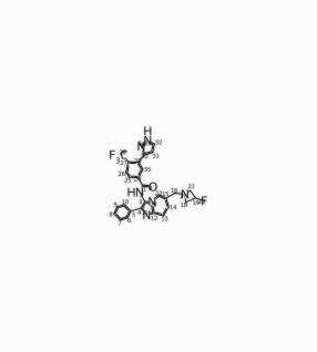 O=C(Nc1c(-c2ccccc2)nc2ccc(CN3CC(F)C3)cn12)c1ccc(C(F)(F)F)c(-c2cc[nH]n2)c1